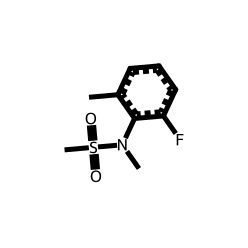 Cc1cccc(F)c1N(C)S(C)(=O)=O